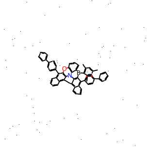 Cc1cc(C)c(B2c3cccc4c3-n3c5c(c(-c6ccc(-c7ccccc7)cc6)c6ccccc6c5c5c6ccccc6c(-c6ccc(-c7ccccc7)cc6)c2c53)O4)c(C)c1